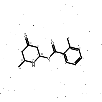 Cc1ccccc1C(=O)OC1CC(=O)CC(C)N1